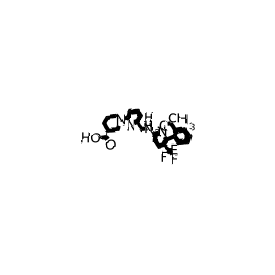 CC(C)c1ccccc1-c1nc(NCc2cccc(N3CCC[C@@H](C(=O)O)C3)n2)ccc1C(F)(F)F